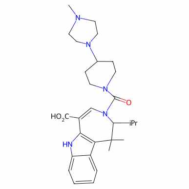 CC(C)C1N(C(=O)N2CCC(N3CCN(C)CC3)CC2)C=C(C(=O)O)c2[nH]c3ccccc3c2C1(C)C